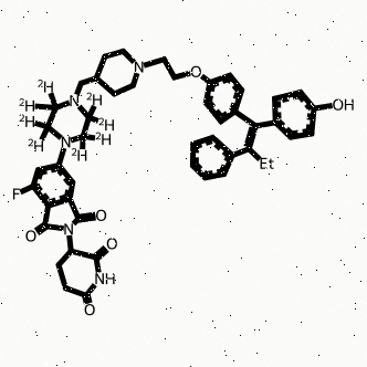 [2H]C1([2H])N(CC2CCN(CCOc3ccc(C(=C(CC)c4ccccc4)c4ccc(O)cc4)cc3)CC2)C([2H])([2H])C([2H])([2H])N(c2cc(F)c3c(c2)C(=O)N(C2CCC(=O)NC2=O)C3=O)C1([2H])[2H]